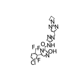 O=C(Nc1cnn(Cc2cnc(N3CCC3)nc2)c1)c1nc(-c2c(C(F)F)ccc(Cl)c2F)cnc1O